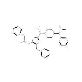 CCN(CC)C(c1nc(Cc2ccccc2)c(NC(C)Cc2ccccc2)o1)C1CCC(C(c2ccc(F)cc2)N(C)C)CC1